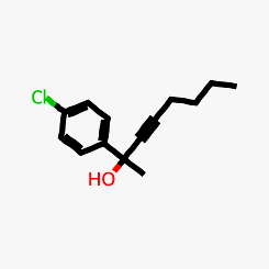 CCCCC#CC(C)(O)c1ccc(Cl)cc1